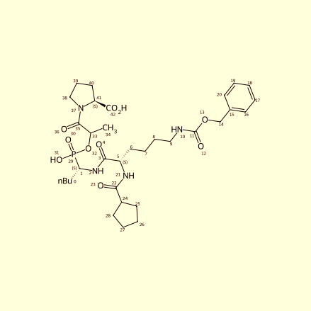 CCCC[C@@H](NC(=O)[C@H](CCCCNC(=O)OCc1ccccc1)NC(=O)C1CCCC1)P(=O)(O)OC(C)C(=O)N1CCC[C@H]1C(=O)O